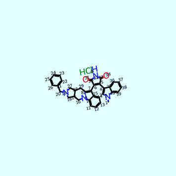 Cl.Cn1cc(C2=C(c3c4n(c5ccccc35)CC3CN(Cc5ccccc5)CC3C4)C(=O)NC2=O)c2ccccc21